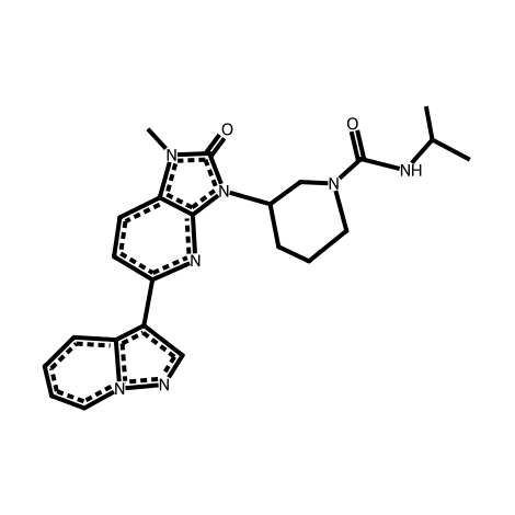 CC(C)NC(=O)N1CCCC(n2c(=O)n(C)c3ccc(-c4cnn5ccccc45)nc32)C1